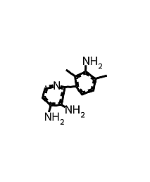 Cc1ccc(-c2nccc(N)c2N)c(C)c1N